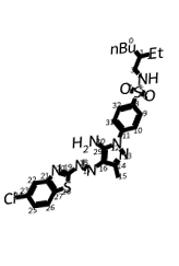 CCCCC(CC)CNS(=O)(=O)c1ccc(-n2nc(C)c(N=Nc3nc4cc(Cl)ccc4s3)c2N)cc1